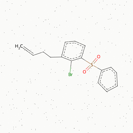 C=CCCc1cccc(S(=O)(=O)c2ccccc2)c1Br